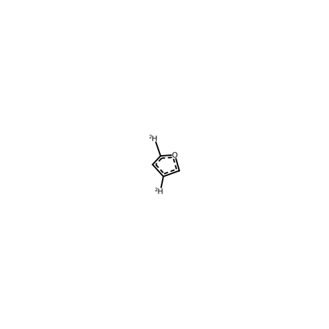 [2H]c1coc([2H])c1